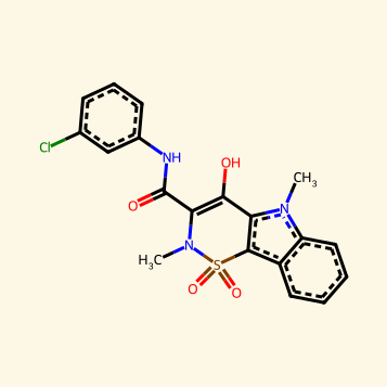 CN1C(C(=O)Nc2cccc(Cl)c2)=C(O)c2c(c3ccccc3n2C)S1(=O)=O